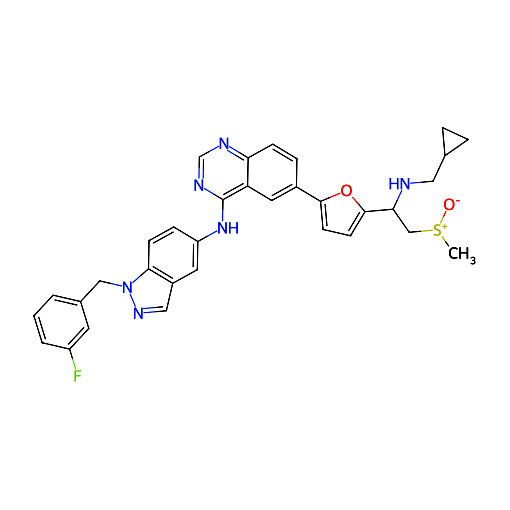 C[S+]([O-])CC(NCC1CC1)c1ccc(-c2ccc3ncnc(Nc4ccc5c(cnn5Cc5cccc(F)c5)c4)c3c2)o1